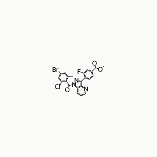 COC(=O)c1ccc(-c2nn(C(=O)c3c(C)cc(Br)cc3Cl)c3cccnc23)c(F)c1